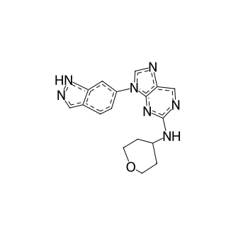 c1cc2cn[nH]c2cc1-n1cnc2cnc(NC3CCOCC3)nc21